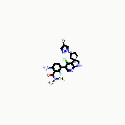 CCc1cnn([C@H]2CC[C@@]3(CNc4ncc(-c5ccc(N)c(C(=O)N(C)C)c5F)c(Cl)c43)C2)c1